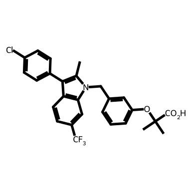 Cc1c(-c2ccc(Cl)cc2)c2ccc(C(F)(F)F)cc2n1Cc1cccc(OC(C)(C)C(=O)O)c1